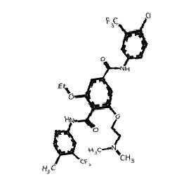 CCOc1cc(C(=O)Nc2ccc(Cl)c(C(F)(F)F)c2)cc(OCCN(C)C)c1C(=O)Nc1ccc(C)c(C(F)(F)F)c1